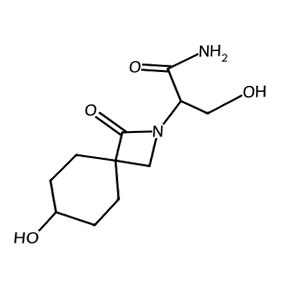 NC(=O)C(CO)N1CC2(CCC(O)CC2)C1=O